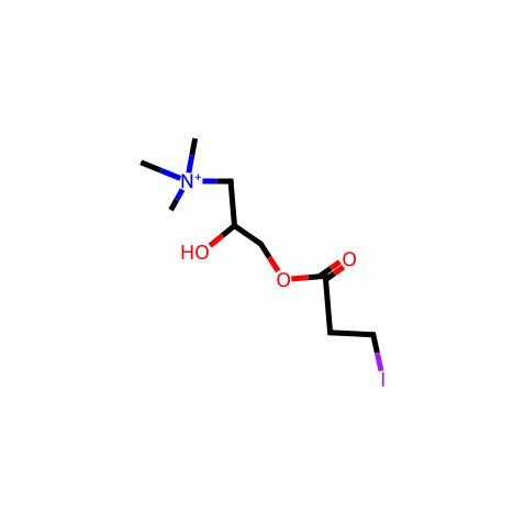 C[N+](C)(C)CC(O)COC(=O)CCI